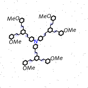 COc1cccc(/C=C/c2cc(/C=C/c3ccc(N(c4ccc(/C=C/c5cc(/C=C/c6cccc(OC)c6)cc(/C=C/c6cccc(OC)c6)c5)cc4)c4ccc(/C=C/c5cc(/C=C/c6cccc(OC)c6)cc(/C=C/c6cccc(OC)c6)c5)cc4)cc3)cc(/C=C/c3cccc(OC)c3)c2)c1